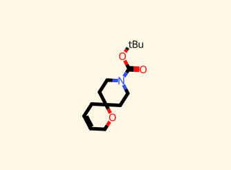 CC(C)(C)OC(=O)N1CCC2(CC=CCO2)CC1